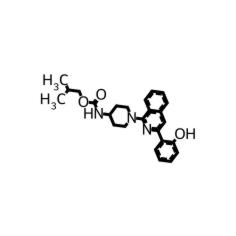 CC(C)COC(=O)NC1CCN(c2nc(-c3ccccc3O)cc3ccccc23)CC1